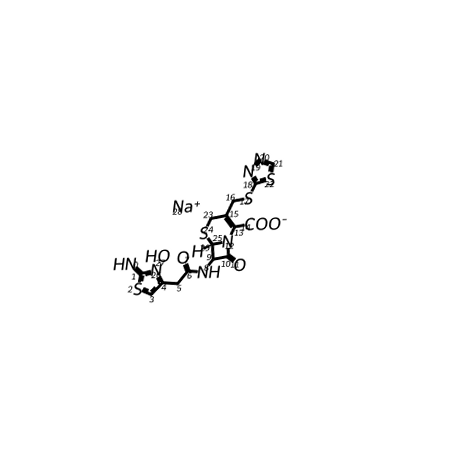 N=c1scc(CC(=O)NC2C(=O)N3C(C(=O)[O-])=C(CSc4nncs4)CS[C@@H]23)n1O.[Na+]